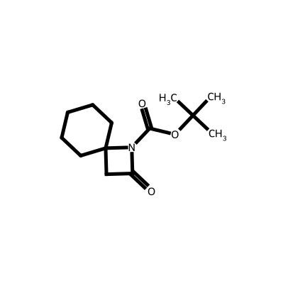 CC(C)(C)OC(=O)N1C(=O)CC12CCCCC2